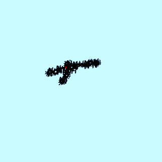 C(=Cc1nc2cc(-c3ncccn3)ccc2[nH]1)CC(c1nc2cc(-c3ncccn3)ccc2[nH]1)C1(c2ncccn2)C=CC2=NC(CCCCc3nc4cc(-c5ncccn5)ccc4[nH]3)=NC2=C1